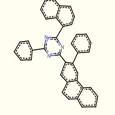 c1ccc(-c2nc(-c3cc4ccc5ccccc5c4cc3-c3ccccc3)nc(-c3cccc4ccccc34)n2)cc1